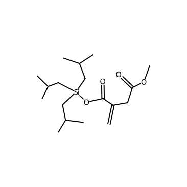 C=C(CC(=O)OC)C(=O)O[Si](CC(C)C)(CC(C)C)CC(C)C